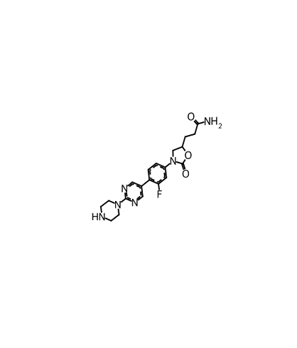 NC(=O)CCC1CN(c2ccc(-c3cnc(N4CCNCC4)nc3)c(F)c2)C(=O)O1